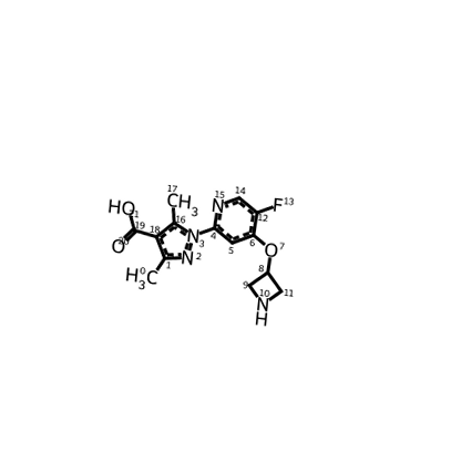 Cc1nn(-c2cc(OC3CNC3)c(F)cn2)c(C)c1C(=O)O